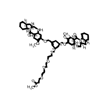 COC(=O)CCOCCOCCOCCSC[C@@H]1C=C(COC2=C(OC)C[C@H]3C(=O)N4[C@H](CNC3C2)C[C@@H]2CCCC[C@@H]24)C[C@H](COC2=C(OC)C[C@@H]3C(=O)N4C5=CCCC[C@@H]5C[C@H]4CN[C@@H]3C2)C1